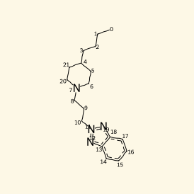 CCCCC1CCN(CCCn2nc3ccccc3n2)CC1